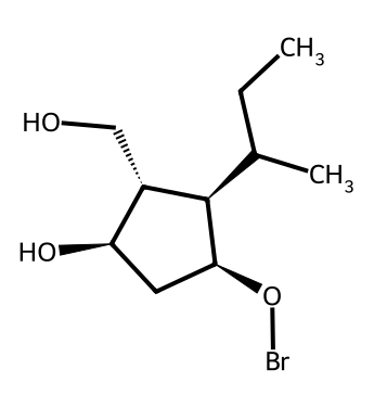 CCC(C)[C@@H]1[C@@H](CO)[C@H](O)C[C@@H]1OBr